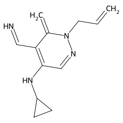 C=CCN1N=CC(NC2CC2)=C(C=N)C1=C